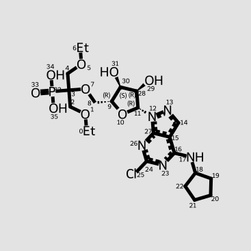 CCOCC(COCC)(OC[C@H]1O[C@@H](n2ncc3c(NC4CCCC4)nc(Cl)nc32)[C@H](O)[C@@H]1O)P(=O)(O)O